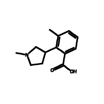 Cc1cccc(C(=O)O)c1C1CCN(C)C1